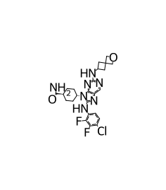 NC(=O)[C@H]1CC[C@H](n2c(Nc3ccc(Cl)c(F)c3F)nc3cnc(NC4CC5(COC5)C4)nc32)CC1